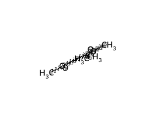 CCCCCCCOC(=O)CCCCCCCCCCCCCC(CCC(=O)OCCCCCCC)C(C)C